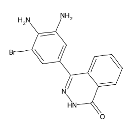 Nc1cc(-c2n[nH]c(=O)c3ccccc23)cc(Br)c1N